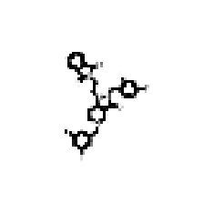 O=C1c2ccccc2C(=O)N1CCn1c2c(c(=O)n1Cc1ccc(F)cc1F)CN(Cc1cc(F)cc(F)c1)CC2